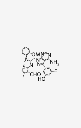 COc1ccccc1N(C)/C(Cn1nc(-c2cc(O)cc(F)c2)c2c(N)ncnc21)=N\c1scc(C)c1C=O